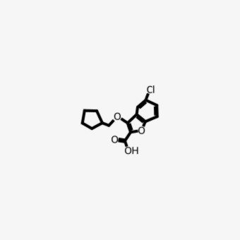 O=C(O)c1oc2ccc(Cl)cc2c1OCC1CCCC1